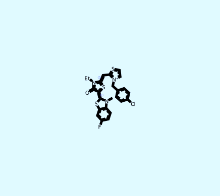 CCn1c(=O)/c(=C2\Sc3cc(F)ccc3N2C)s/c1=C\c1scc[n+]1Cc1ccc(Cl)cc1